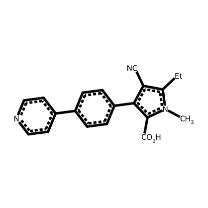 CCc1c(C#N)c(-c2ccc(-c3ccncc3)cc2)c(C(=O)O)n1C